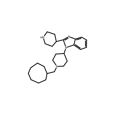 c1ccc2c(c1)nc(C1CCNCC1)n2C1CCN(CC2CCCCCCC2)CC1